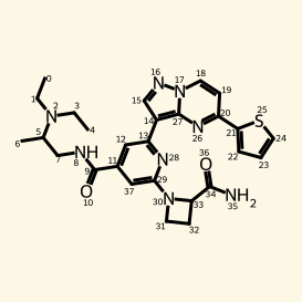 CCN(CC)C(C)CNC(=O)c1cc(-c2cnn3ccc(-c4cccs4)nc23)nc(N2CCC2C(N)=O)c1